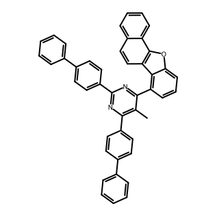 Cc1c(-c2ccc(-c3ccccc3)cc2)nc(-c2ccc(-c3ccccc3)cc2)nc1-c1cccc2oc3c4ccccc4ccc3c12